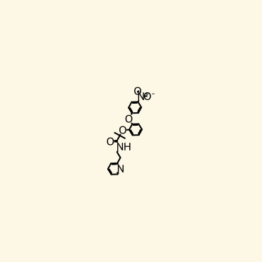 CC(C)(Oc1ccccc1Oc1ccc([N+](=O)[O-])cc1)C(=O)NCCc1ccccn1